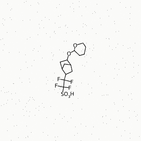 O=S(=O)(O)C(F)(F)C(F)(F)C1CC2CC1CC2OC1CCCCO1